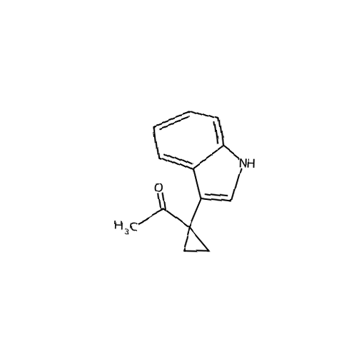 CC(=O)C1(c2c[nH]c3ccccc23)CC1